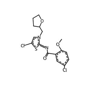 COc1ccc(Cl)cc1C(=O)N=c1sc(Cl)cn1CC1CCCO1